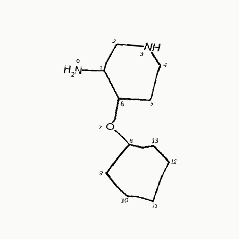 NC1CNCCC1OC1CCCCC1